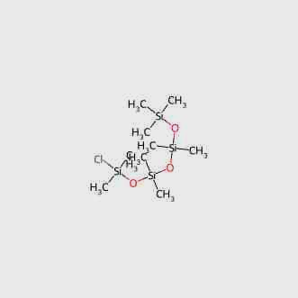 C[Si](C)(C)O[Si](C)(C)O[Si](C)(C)O[Si](C)(C)Cl